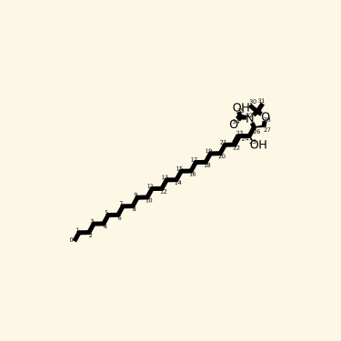 CCCCCCCCCCCCCCCCCCCCCC/C=C/[C@@H](O)[C@@H]1COC(C)(C)N1C(=O)O